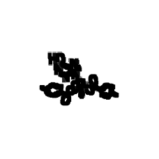 C=C[C@]1(COC(=O)c2ccc(C)cc2)O[C@@H](n2cnc3c(O)ncnc32)C[C@@H]1OC(=O)c1ccc(C)cc1